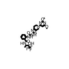 COc1cc(N2CCc3nc(NC(=O)Nc4ccccc4C(=O)NC(C)C(O)C(F)(F)F)sc3C2)nc(OC)n1